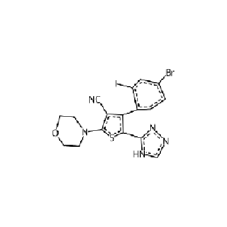 N#Cc1c(N2CCOCC2)sc(-c2nnc[nH]2)c1-c1ccc(Br)cc1I